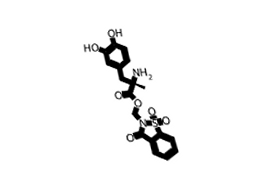 C[C@](N)(Cc1ccc(O)c(O)c1)C(=O)OCN1C(=O)c2ccccc2S1(=O)=O